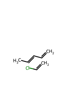 C=CC=CC.C=CCl